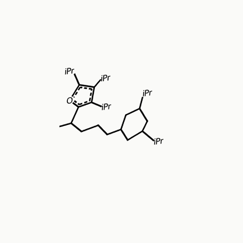 CC(C)c1oc(C(C)CCCC2CC(C(C)C)CC(C(C)C)C2)c(C(C)C)c1C(C)C